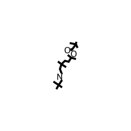 CC(C)(C)C/N=C/CC(C)(C)CCC(C)(C)OC(=O)C(C)(C)C